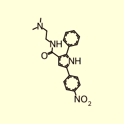 CN(C)CCNC(=O)c1cc(-c2ccc([N+](=O)[O-])cc2)[nH]c1-c1ccccc1